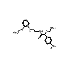 COCSc1ccccc1NCCNC(=O)C(SCOC)c1ccc(N(C)C)cc1